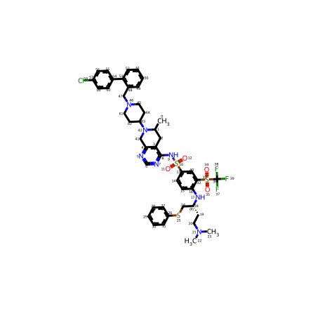 CC1Cc2c(ncnc2NS(=O)(=O)c2ccc(N[C@H](CCN(C)C)CSc3ccccc3)c(S(=O)(=O)C(F)(F)F)c2)CN1C1CCN(Cc2ccccc2-c2ccc(Cl)cc2)CC1